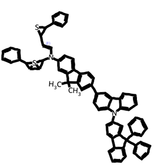 CC1(C)c2cc(-c3ccc4c(c3)c3ccccc3n4-c3ccc4c(c3)C(c3ccccc3)(c3ccccc3)c3ccccc3-4)ccc2-c2ccc(N(/C=C/C3SC3c3ccccc3)C3C4C5C(c6ccccc6)S543)cc21